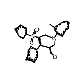 Cc1ccccc1N1CC(S(=O)(=O)c2ccccc2)=C(c2ccccc2)C(CCl)C1